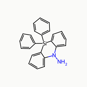 NN1c2ccccc2[Si](c2ccccc2)(c2ccccc2)c2ccccc21